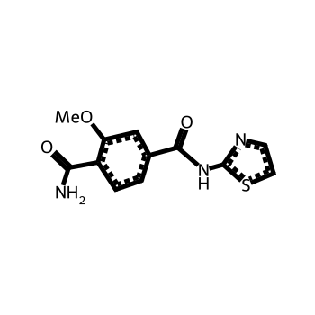 COc1cc(C(=O)Nc2nccs2)ccc1C(N)=O